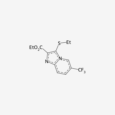 CCOC(=O)c1nc2ccc(C(F)(F)F)cn2c1SCC